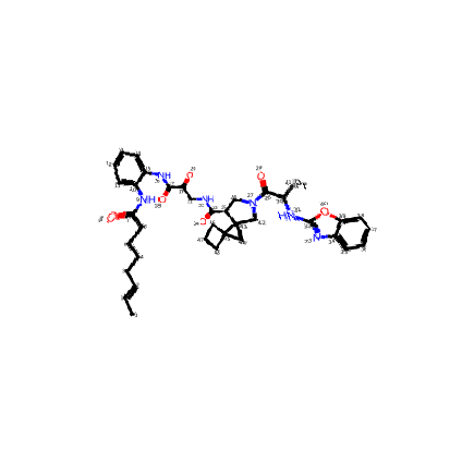 C/C=C/CCCCC(=O)Nc1ccccc1NC(=O)C(=O)CNC(=O)[C@H]1CN(C(=O)C(Nc2nc3ccccc3o2)C(C)C)CC12CC21CCC1